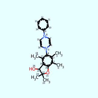 Cc1c(C)c(N2C=CN(c3ccccc3)C=C2)c(C)c2c1OC(C)(C)C2O